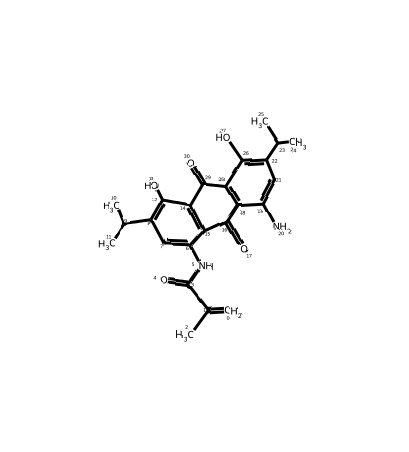 C=C(C)C(=O)Nc1cc(C(C)C)c(O)c2c1C(=O)c1c(N)cc(C(C)C)c(O)c1C2=O